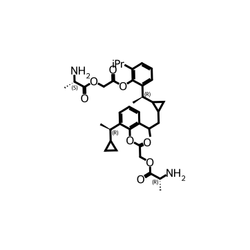 CC(C)c1cccc([C@H](C)C2CC2CC(C)c2cccc([C@H](C)C3CC3)c2OC(=O)COC(=O)[C@@H](C)N)c1OC(=O)COC(=O)[C@H](C)N